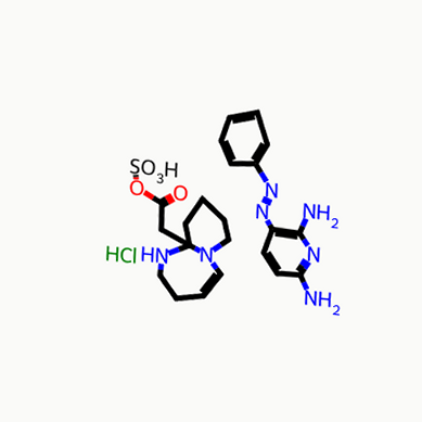 Cl.Nc1ccc(/N=N/c2ccccc2)c(N)n1.O=C(CC12CCCCN1C=CCCN2)OS(=O)(=O)O